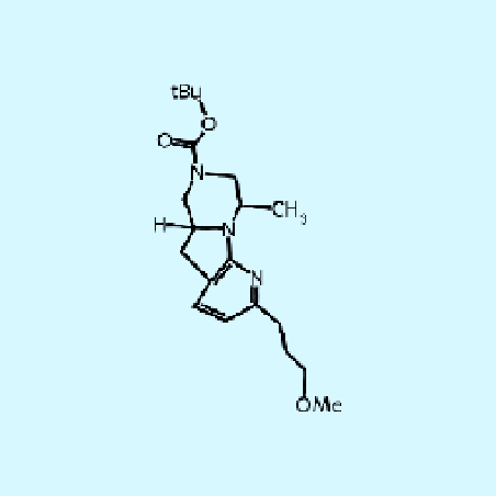 COCCCc1ccc2c(n1)N1[C@H](C2)CN(C(=O)OC(C)(C)C)C[C@H]1C